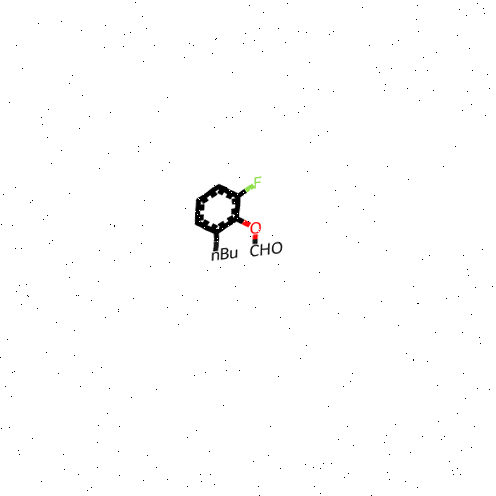 CCCCc1cccc(F)c1OC=O